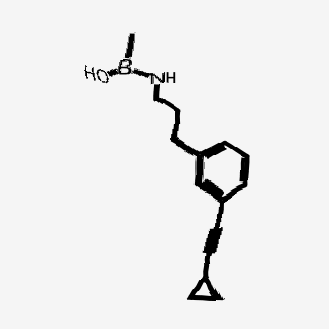 CB(O)NCCCc1cccc(C#CC2CC2)c1